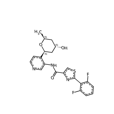 C[C@H]1C[C@H](O)C[C@@H](c2ccncc2NC(=O)c2csc(-c3c(F)cccc3F)n2)O1